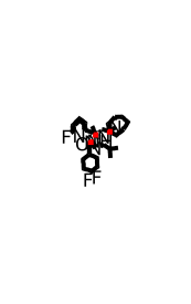 Cc1nnc(C(C)C)n1C1CC2CCC(C1)N2CC[C@H](NC(=O)C1CCC(F)(F)CC1)c1cccc(F)n1